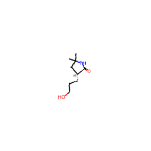 CC1(C)C[C@@H](CCCO)C(=O)N1